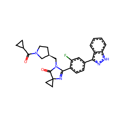 O=C(C1CC1)N1CC[C@@H](CN2C(=O)C3(CC3)N=C2c2ccc(-c3n[nH]c4ccccc34)cc2F)C1